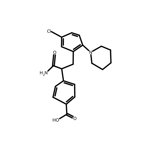 NC(=O)C(Cc1cc(Cl)ccc1N1CCCCC1)c1ccc(C(=O)O)cc1